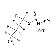 CCCN(CCC)C(=S)SC(F)(F)C(F)(F)C(F)(F)C(F)(F)C(F)(F)F